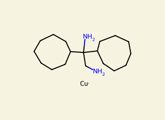 NCC(N)(C1CCCCCCC1)C1CCCCCCC1.[Cu]